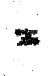 CCCNC(=O)[C@H](CC)C[C@H](O)[C@H](Cc1ccccc1)NC(=O)C[C@H](NC(=O)COc1ccccc1)C(=O)O